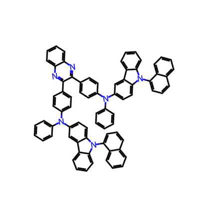 c1ccc(N(c2ccc(-c3nc4ccccc4nc3-c3ccc(N(c4ccccc4)c4ccc5c(c4)c4ccccc4n5-c4cccc5ccccc45)cc3)cc2)c2ccc3c(c2)c2ccccc2n3-c2cccc3ccccc23)cc1